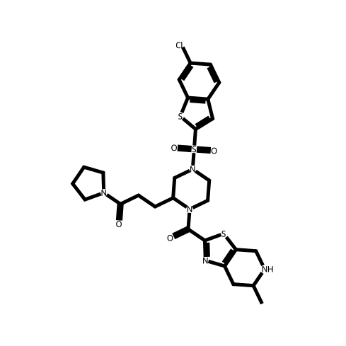 CC1Cc2nc(C(=O)N3CCN(S(=O)(=O)c4cc5ccc(Cl)cc5s4)CC3CCC(=O)N3CCCC3)sc2CN1